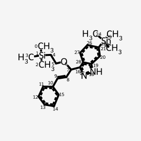 C[Si](C)(C)CCOC(C=Cc1ccccc1)c1n[nH]c2c[c]([Sn]([CH3])([CH3])[CH3])ccc12